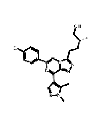 Cc1c(-c2nc(-c3ccc(Cl)cc3)cn3c(CC[C@@H](C)CO)nnc23)cnn1C